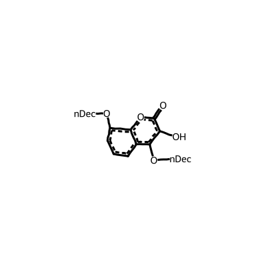 CCCCCCCCCCOc1c(O)c(=O)oc2c(OCCCCCCCCCC)cccc12